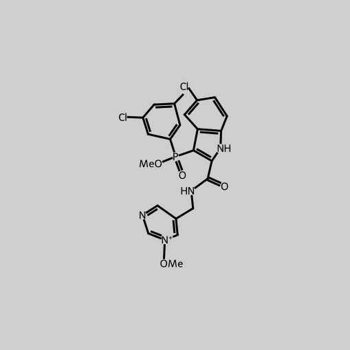 CO[n+]1cncc(CNC(=O)c2[nH]c3ccc(Cl)cc3c2P(=O)(OC)c2cc(C)cc(Cl)c2)c1